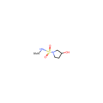 CNNS(=O)(=O)N1CCC(O)C1